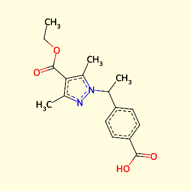 CCOC(=O)c1c(C)nn(C(C)c2ccc(C(=O)O)cc2)c1C